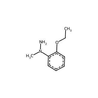 CCOc1ccccc1N(C)N